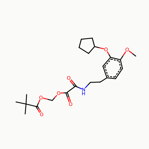 COc1ccc(CCNC(=O)C(=O)OCOC(=O)C(C)(C)C)cc1OC1CCCC1